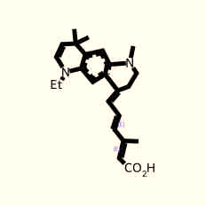 CCN1C=CC(C)(C)c2cc3c(cc21)C(=C/C=C/C(C)=C/C(=O)O)CCN3C